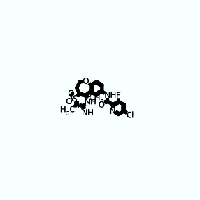 CN1C(=N)N[C@]2(C)c3cc(NC(=O)c4ncc(Cl)cc4F)ccc3OCCC2S1(=O)=O